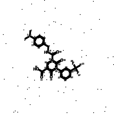 CN(C)c1ccc(CNC(=O)n2cc(C(=O)O)c(=O)n(-c3cccc(C(F)(F)F)c3)c2=O)cc1